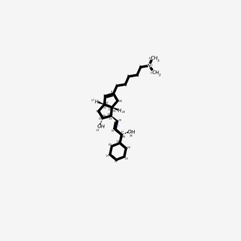 CN(C)CCCCCC1=C[C@H]2C[C@@H](O)[C@H](/C=C/[C@H](O)C3CCCCC3)[C@H]2C1